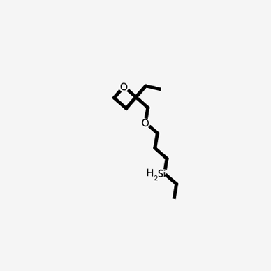 CC[SiH2]CCCOCC1(CC)CCO1